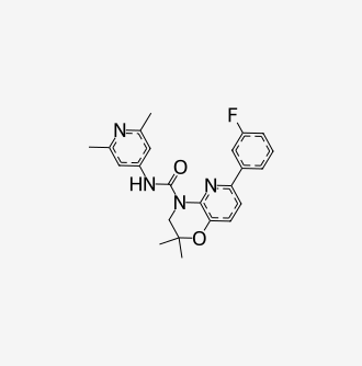 Cc1cc(NC(=O)N2CC(C)(C)Oc3ccc(-c4cccc(F)c4)nc32)cc(C)n1